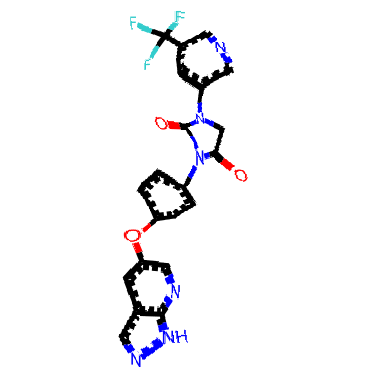 O=C1CN(c2cncc(C(F)(F)F)c2)C(=O)N1c1ccc(Oc2cnc3[nH]ncc3c2)cc1